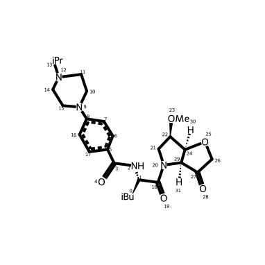 CC[C@H](C)[C@H](NC(=O)c1ccc(N2CCN(C(C)C)CC2)cc1)C(=O)N1C[C@@H](OC)[C@H]2OCC(=O)[C@H]21